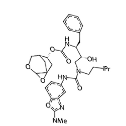 CNc1nc2cc(NC(=O)N(CCC(C)C)C[C@@H](O)[C@H](Cc3ccccc3)NC(=O)O[C@@H]3CC45CC3COC4O5)ccc2o1